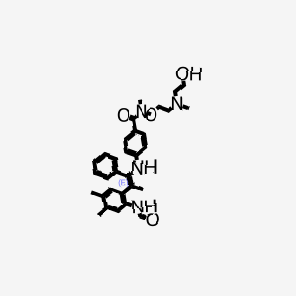 C/C(=C(\Nc1ccc(C(=O)N(C)OCCN(C)CCO)cc1)c1ccccc1)c1cc(C)c(C)cc1NC=O